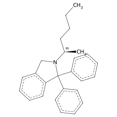 CCCC[C@@H](C)N1Cc2ccccc2C1(c1ccccc1)c1ccccc1